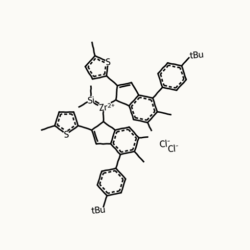 Cc1ccc(C2=Cc3c(cc(C)c(C)c3-c3ccc(C(C)(C)C)cc3)[CH]2[Zr+2]([CH]2C(c3ccc(C)s3)=Cc3c2cc(C)c(C)c3-c2ccc(C(C)(C)C)cc2)=[Si](C)C)s1.[Cl-].[Cl-]